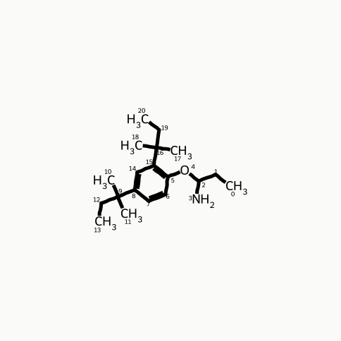 CCC(N)Oc1ccc(C(C)(C)CC)cc1C(C)(C)CC